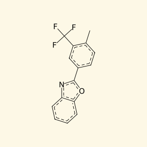 Cc1ccc(-c2nc3ccccc3o2)cc1C(F)(F)F